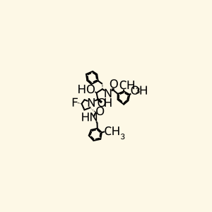 Cc1ccccc1CNC(=O)[C@@H]1C[C@H](F)CN1C(=O)[C@@H](O)[C@H](Cc1ccccc1)NC(=O)c1cccc(O)c1C